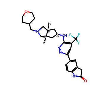 O=C1Cc2cc(-c3cc(C(F)(F)F)c(N[C@H]4C[C@@H]5CN(CC6CCOCC6)C[C@@H]5C4)nn3)ccc2N1